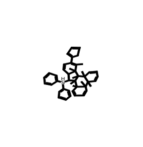 CC1=C(C2=CC=CC2)C=CC2C([SiH](c3ccccc3)c3ccccc3)C3(C)C4(C)C=CC=CC4(C)C4(C)C=CC=CC4(C)C3(C)C12C